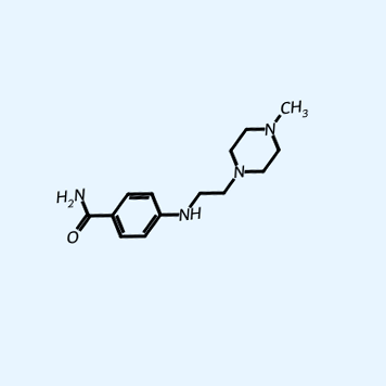 CN1CCN(CCNc2ccc(C(N)=O)cc2)CC1